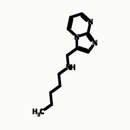 CCCCCNCc1cnc2ncccn12